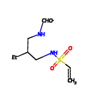 C=CS(=O)(=O)NCC(CC)CN[C]=O